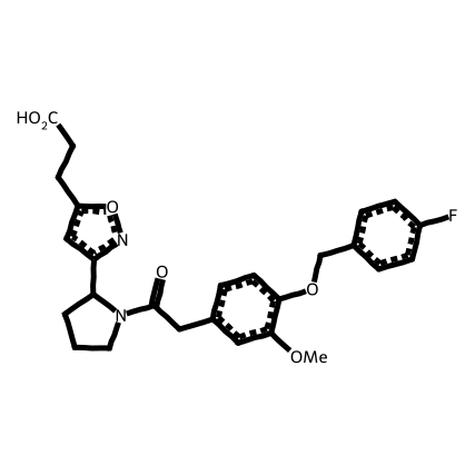 COc1cc(CC(=O)N2CCCC2c2cc(CCC(=O)O)on2)ccc1OCc1ccc(F)cc1